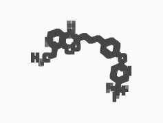 CCc1nccc(NC(=O)CCCc2ccc(Oc3ccc(C(F)(F)F)cn3)cc2)c1Cl